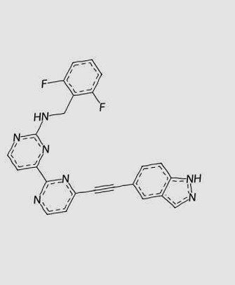 Fc1cccc(F)c1CNc1nccc(-c2nccc(C#Cc3ccc4[nH]ncc4c3)n2)n1